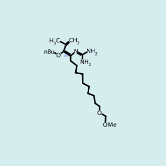 C=C(C)/C(OCCCC)=C(/CCCCCCCCCCOCOC)N=C(N)N